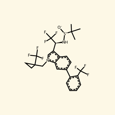 CC(C)(C)[S+]([O-])N[C@@H](c1cn(CC2(C(F)(F)F)CC2)c2cc(-c3ccccc3C(F)(F)F)ccc12)C(F)(F)F